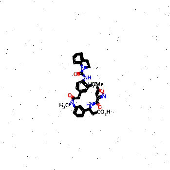 COc1cc(CC(=O)N(C)c2cccc(C(CC(=O)O)NC(=O)c3cc(C)on3)c2)ccc1NC(=O)N1CCc2ccccc21